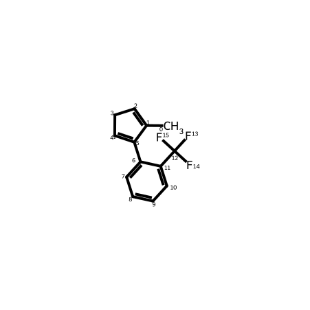 CC1=CC[C]=C1c1ccccc1C(F)(F)F